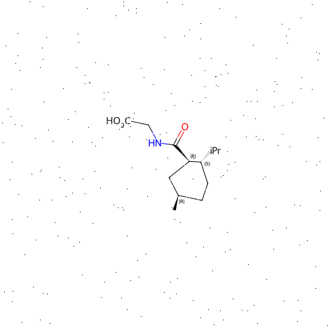 CC(C)[C@@H]1CC[C@@H](C)C[C@H]1C(=O)NCC(=O)O